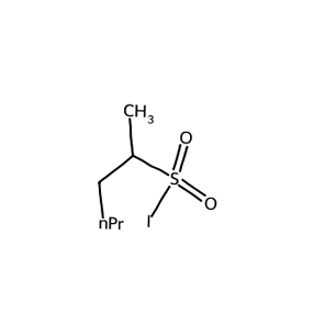 CCCCC(C)S(=O)(=O)I